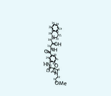 COCCN1CC2(C1)Oc1ccc(C(=O)NCC(O)CN3CCc4ccccc4C3)cc1NC2=O